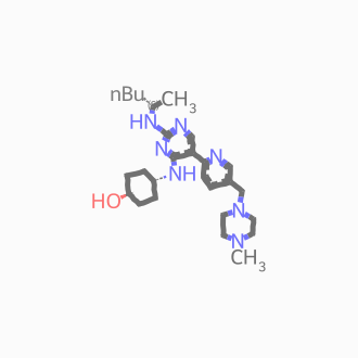 CCCC[C@H](C)Nc1ncc(-c2ccc(CN3CCN(C)CC3)cn2)c(N[C@H]2CC[C@H](O)CC2)n1